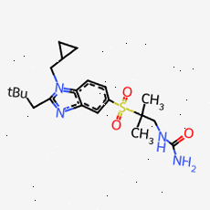 CC(C)(C)Cc1nc2cc(S(=O)(=O)C(C)(C)CNC(N)=O)ccc2n1CC1CC1